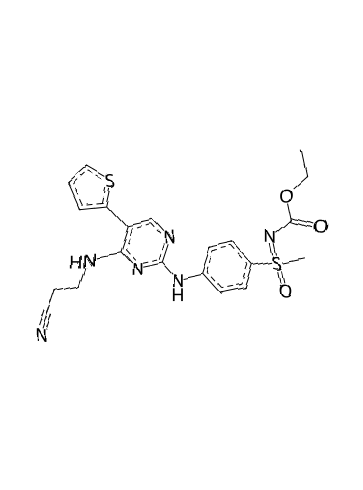 CCOC(=O)N=S(C)(=O)c1ccc(Nc2ncc(-c3cccs3)c(NCCC#N)n2)cc1